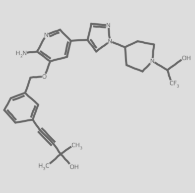 CC(C)(O)C#Cc1cccc(COc2cc(-c3cnn(C4CCN(C(O)C(F)(F)F)CC4)c3)cnc2N)c1